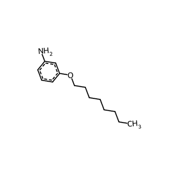 CCCCCCCCOc1cccc(N)c1